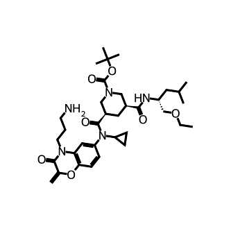 C=C1Oc2ccc(N(C(=O)[C@@H]3C[C@H](C(=O)N[C@@H](COCC)CC(C)C)CN(C(=O)OC(C)(C)C)C3)C3CC3)cc2N(CCCN)C1=O